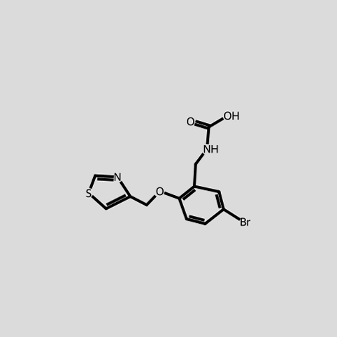 O=C(O)NCc1cc(Br)ccc1OCc1cscn1